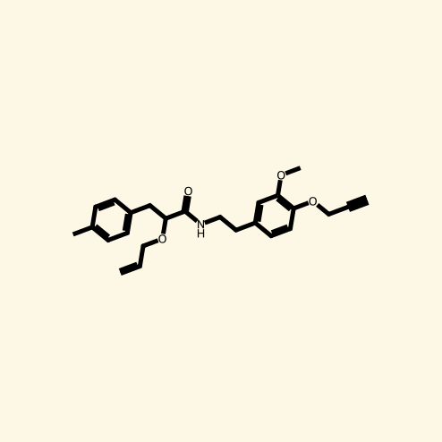 C#CCOc1ccc(CCNC(=O)C(Cc2ccc(C)cc2)OCC=C)cc1OC